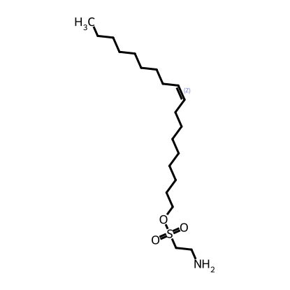 CCCCCCCC/C=C\CCCCCCCCOS(=O)(=O)CCN